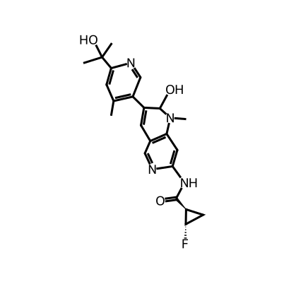 Cc1cc(C(C)(C)O)ncc1C1=Cc2cnc(NC(=O)[C@H]3C[C@@H]3F)cc2N(C)C1O